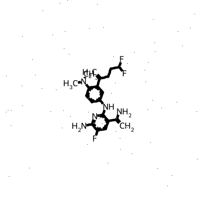 C=C(CCC(F)F)c1cc(Nc2nc(N)c(F)cc2C(=C)N)ccc1N(C)C